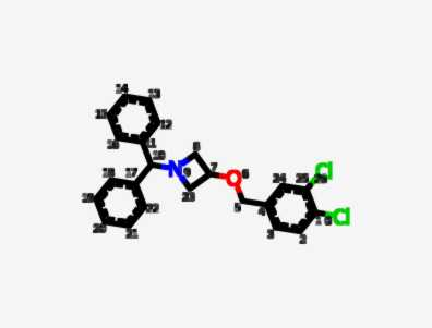 Clc1ccc(COC2CN(C(c3ccccc3)c3ccccc3)C2)cc1Cl